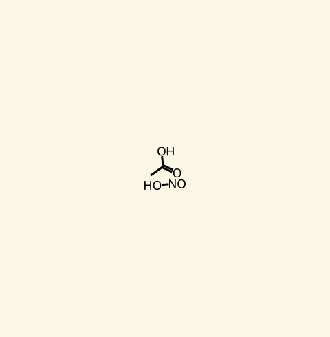 CC(=O)O.O=NO